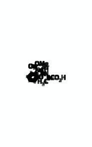 COC(=O)N(c1ccccc1)[C@H](C(=O)N[C@@H](C)C(=O)O)C(C)C